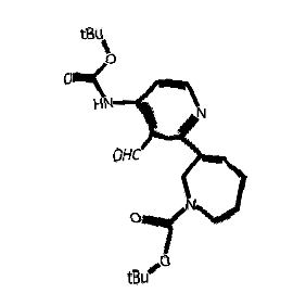 CC(C)(C)OC(=O)Nc1ccnc(C2=CCCCN(C(=O)OC(C)(C)C)C2)c1C=O